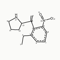 C=C(c1c(CC)cccc1[N+](=O)[O-])C1CCCN1